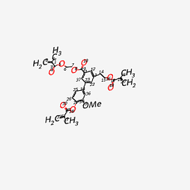 C=C(C)C(=O)OCCOC(=O)c1cc(CCOC(=O)C(=C)C)cc(-c2ccc(OC(=O)C(=C)C)c(OC)c2)c1